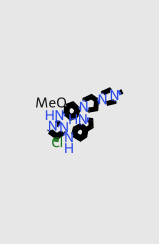 COc1cc(N2CCC(N3CCN(C)CC3)CC2)ccc1Nc1ncc(Cl)c(Nc2ccc3c(c2)NCC3)n1